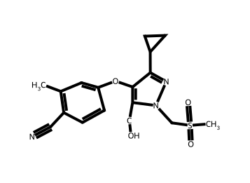 Cc1cc(Oc2c(C3CC3)nn(CS(C)(=O)=O)c2CO)ccc1C#N